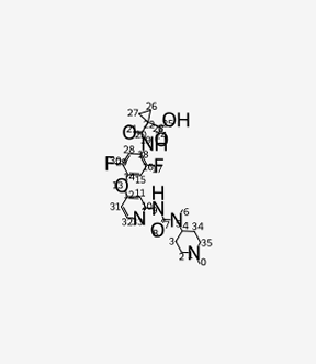 CN1CCC(N(C)C(=O)Nc2cc(Oc3cc(F)c(NC(=O)C4(C(=O)O)CC4)cc3F)ccn2)CC1